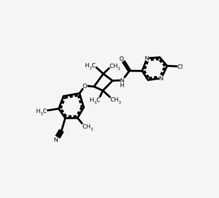 Cc1cc(OC2C(C)(C)C(NC(=O)c3cnc(Cl)cn3)C2(C)C)cc(C)c1C#N